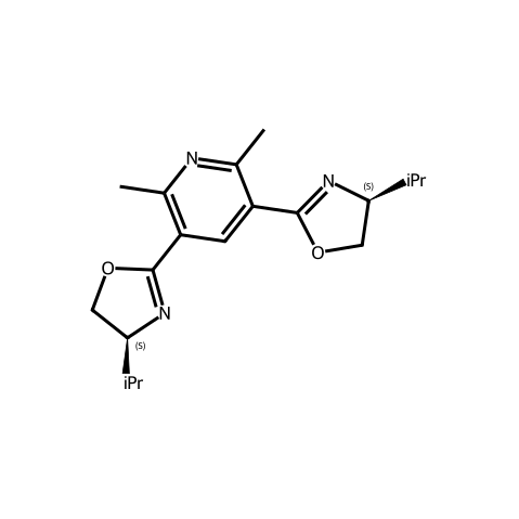 Cc1nc(C)c(C2=N[C@@H](C(C)C)CO2)cc1C1=N[C@@H](C(C)C)CO1